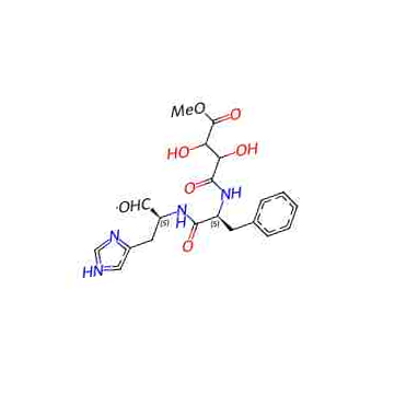 COC(=O)C(O)C(O)C(=O)N[C@@H](Cc1ccccc1)C(=O)N[C@H]([C]=O)Cc1c[nH]cn1